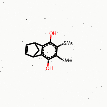 CSc1c(O)c2c(c(O)c1SC)C1C=CC2C1